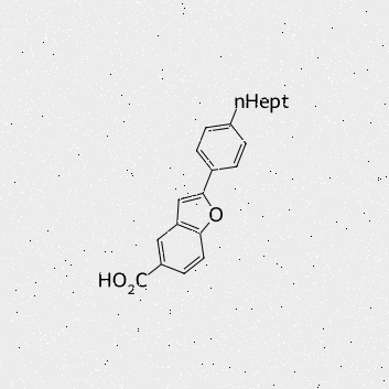 CCCCCCCc1ccc(-c2cc3cc(C(=O)O)ccc3o2)cc1